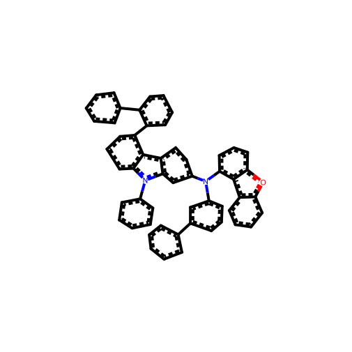 c1ccc(-c2cccc(N(c3ccc4c5c(-c6ccccc6-c6ccccc6)cccc5n(-c5ccccc5)c4c3)c3cccc4oc5ccccc5c34)c2)cc1